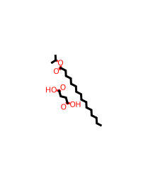 CCCCCCCCCCCCCCCC(=O)OC(C)C.O=C(O)CCC(=O)O